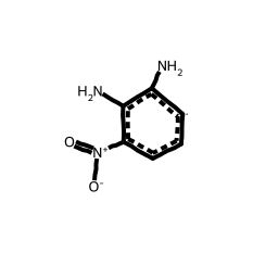 Nc1[c]ccc([N+](=O)[O-])c1N